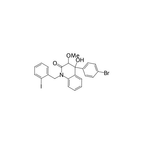 COC1C(=O)N(Cc2ccccc2I)c2ccccc2C1(O)c1ccc(Br)cc1